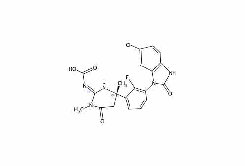 CN1C(=O)C[C@@](C)(c2cccc(-n3c(=O)[nH]c4ccc(Cl)cc43)c2F)N/C1=N\C(=O)O